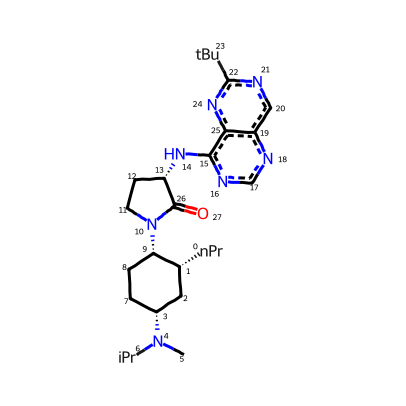 CCC[C@@H]1C[C@H](N(C)C(C)C)CC[C@@H]1N1CC[C@H](Nc2ncnc3cnc(C(C)(C)C)nc23)C1=O